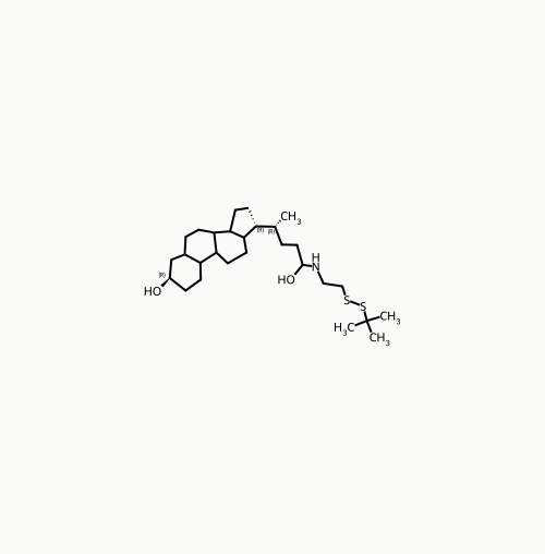 C[C@H](CCC(O)NCCSSC(C)(C)C)[C@H]1CCC2C3CCC4C[C@H](O)CCC4C3CCC21